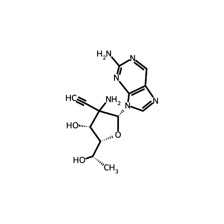 C#CC1(N)[C@@H](O)[C@@H]([C@H](C)O)O[C@H]1n1cnc2cnc(N)nc21